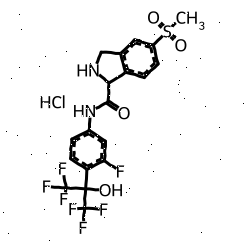 CS(=O)(=O)c1ccc2c(c1)CNC2C(=O)Nc1ccc(C(O)(C(F)(F)F)C(F)(F)F)c(F)c1.Cl